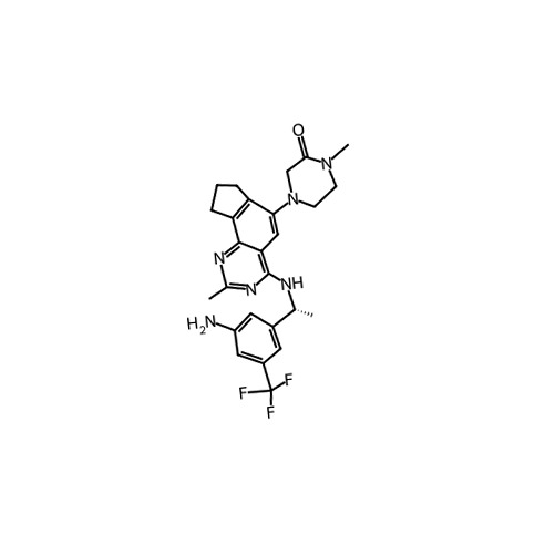 Cc1nc(N[C@H](C)c2cc(N)cc(C(F)(F)F)c2)c2cc(N3CCN(C)C(=O)C3)c3c(c2n1)CCC3